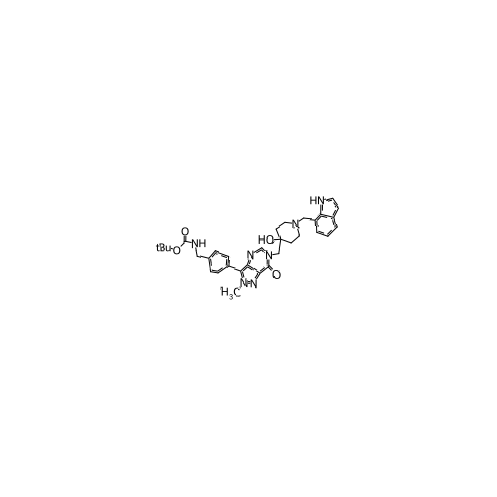 Cn1nc2c(=O)n(CC3(O)CCN(Cc4cccc5cc[nH]c45)CC3)cnc2c1-c1ccc(CNC(=O)OC(C)(C)C)cc1